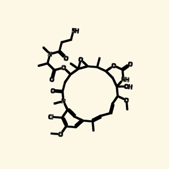 COc1cc2cc(c1Cl)N(C)C(=O)CC(OC(=O)C(C)N(C)C(=O)CCS)C1(C)OC1C(C)C1CC(O)(NC(=O)O1)C(OC)/C=C/C=C/2C